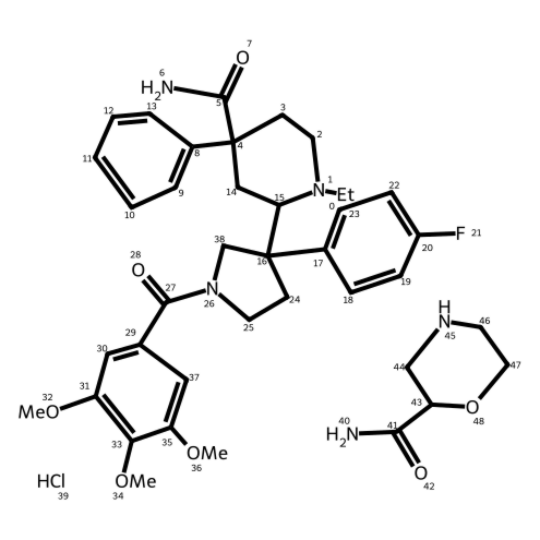 CCN1CCC(C(N)=O)(c2ccccc2)CC1C1(c2ccc(F)cc2)CCN(C(=O)c2cc(OC)c(OC)c(OC)c2)C1.Cl.NC(=O)C1CNCCO1